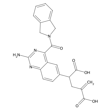 C=C(CC(C(=O)O)c1ccc2nc(N)nc(C(=O)N3Cc4ccccc4C3)c2c1)C(=O)O